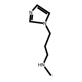 [C]NCCCn1ccnc1